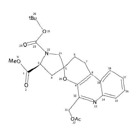 COC(=O)[C@@H]1CC2(CCc3c(c(COC(C)=O)nc4ccccc34)O2)CN1C(=O)OC(C)(C)C